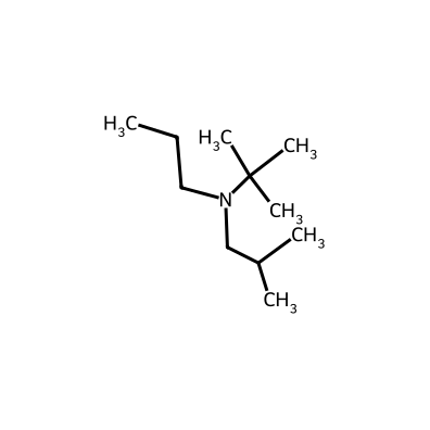 CCCN(CC(C)C)C(C)(C)C